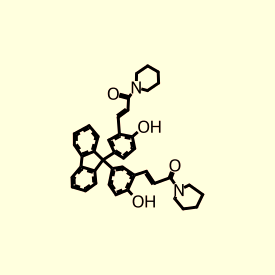 O=C(/C=C/c1cc(C2(c3ccc(O)c(/C=C/C(=O)N4CCCCC4)c3)c3ccccc3-c3ccccc32)ccc1O)N1CCCCC1